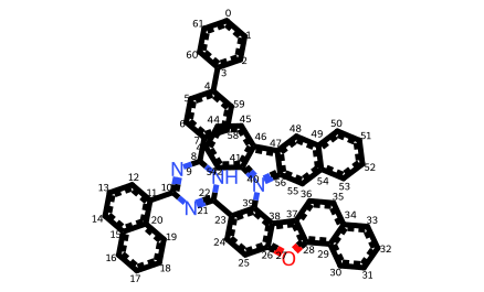 c1ccc(-c2ccc(C3N=C(c4cccc5ccccc45)N=C(c4ccc5oc6c7ccccc7ccc6c5c4-n4c5ccccc5c5cc6ccccc6cc54)N3)cc2)cc1